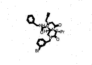 C#CCN1CC(=O)N2[C@@H](C(C)C)C(=O)N(Cc3cccc(Br)c3)C[C@@H]2N1C(=O)NCc1ccccc1